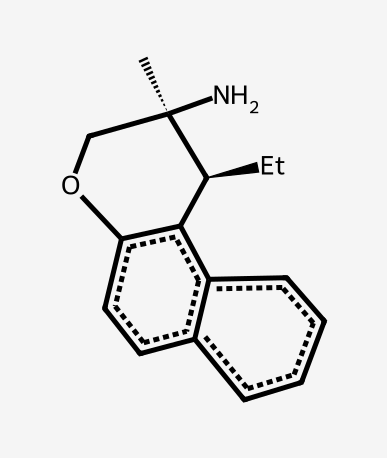 CC[C@H]1c2c(ccc3ccccc23)OC[C@@]1(C)N